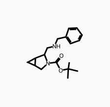 CC(C)(C)OC(=O)N1CC2CC2C1CNCc1ccccc1